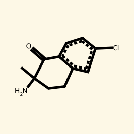 CC1(N)CCc2cc(Cl)ccc2C1=O